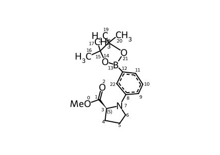 COC(=O)[C@@H]1CCCN1c1cccc(B2OC(C)(C)C(C)(C)O2)c1